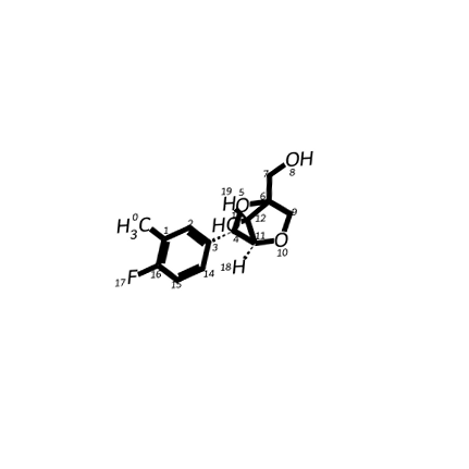 Cc1cc([C@@H]2OC3(CO)CO[C@@H]2[C@@H]3O)ccc1F